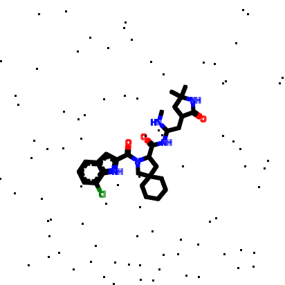 CNC(CC1CC(C)(C)NC1=O)NC(=O)C1CC2(CCCCC2)CN1C(=O)c1cc2cccc(Cl)c2[nH]1